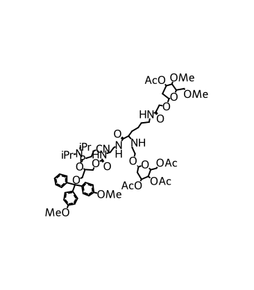 COCC1OC(OCC(=O)NCCCCC(NCCO[C@H]2CC(OC(C)=O)C(OC(C)=O)C(COC(C)=O)O2)C(=O)NCCNC(=O)OCC(COC(c2ccccc2)(c2ccc(OC)cc2)c2ccc(OC)cc2)OP(CCC#N)N(C(C)C)C(C)C)CC(OC(C)=O)C1OC